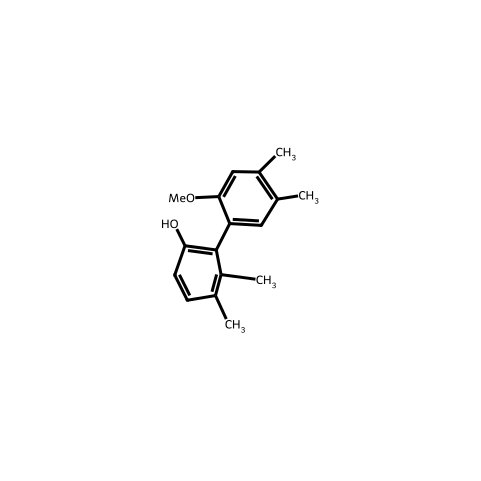 COc1cc(C)c(C)cc1-c1c(O)ccc(C)c1C